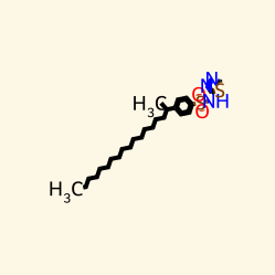 CCCCCCCCCCCCCCCCC(C)c1ccc(S(=O)(=O)Nc2nncs2)cc1